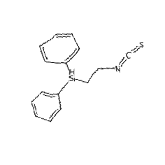 S=C=NCC[SiH](c1ccccc1)c1ccccc1